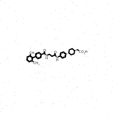 Cc1cccc(C)c1-c1ccc(C(=O)NCCC(=O)Nc2ccc([C@H]3CC[C@H](CC(=O)O)CC3)cc2)cc1